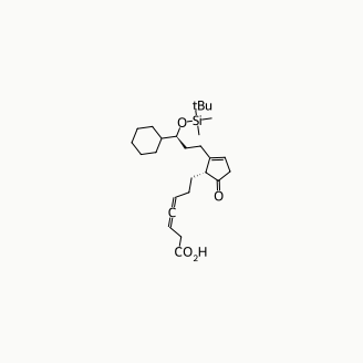 CC(C)(C)[Si](C)(C)O[C@@H](CCC1=CCC(=O)[C@@H]1CCC=C=CCC(=O)O)C1CCCCC1